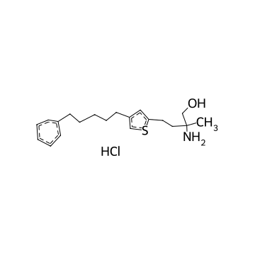 CC(N)(CO)CCc1cc(CCCCCc2ccccc2)cs1.Cl